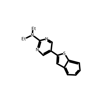 CCN(CC)c1ncc(-c2cc3ccccc3s2)cn1